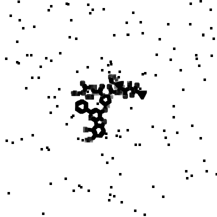 C=C[C@@H]1C[C@]1(NC(=O)[C@@H]1C[C@@H](Oc2cc(-c3ccccc3)nc3c2oc2ccc(CCC)c(Br)c23)CN1C(=O)[C@@H](NC(=O)OC(C)(C)C)C(C)(C)C)C(=O)NS(=O)(=O)C1CC1